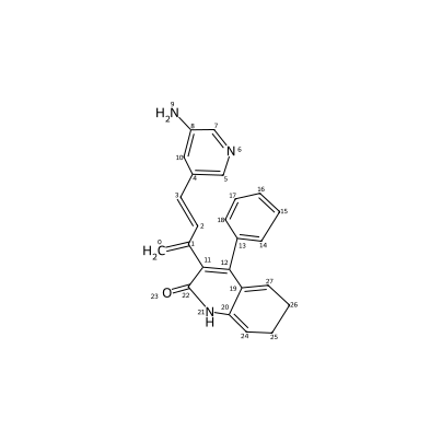 C=C(/C=C/c1cncc(N)c1)c1c(-c2ccccc2)c2c([nH]c1=O)=CCCC=2